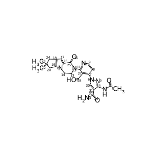 CC(=O)Nc1nn(-c2ccnc(N3CCn4c(cc5c4CC(C)(C)C5)C3=O)c2CO)cc1C(N)=O